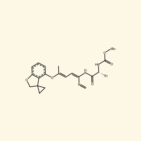 C=N/C(=C\C=C(/C)Oc1cccc2c1C1(CC1)CO2)NC(=O)[C@@H](CC)NC(=O)OC(C)(C)C